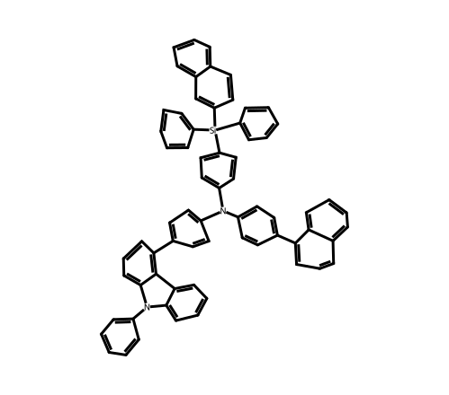 c1ccc(-n2c3ccccc3c3c(-c4ccc(N(c5ccc(-c6cccc7ccccc67)cc5)c5ccc([Si](c6ccccc6)(c6ccccc6)c6ccc7ccccc7c6)cc5)cc4)cccc32)cc1